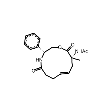 CC(=O)N[C@]1(C)C/C=C/CCC(=O)N[C@H](c2ccccc2)COC1=O